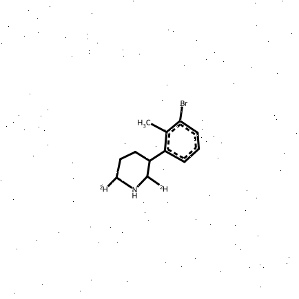 [2H]C1CCC(c2cccc(Br)c2C)C([2H])N1